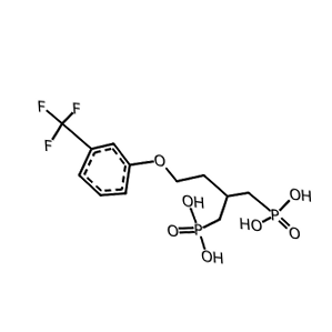 O=P(O)(O)CC(CCOc1cccc(C(F)(F)F)c1)CP(=O)(O)O